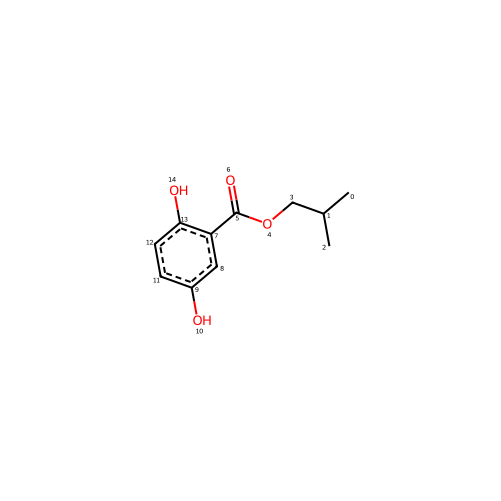 CC(C)COC(=O)c1cc(O)ccc1O